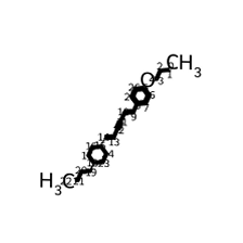 CCCCOc1ccc(C=CC#CC=C[C@H]2CC[C@H](CCCC)CC2)cc1